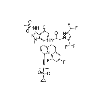 Cn1nc(NS(C)(=O)=O)c2c(Cl)ccc(-c3ccc(C#CC(C)(C)S(=O)(=O)C4CC4)nc3[C@H](Cc3cc(F)cc(F)c3)NC(=O)Cn3nc(C(F)F)cc3C(F)F)c21